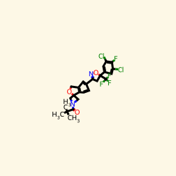 CC(C)(C)C(=O)N1CC2(C1)OCc1cc(C3=NOC(c4cc(Cl)c(F)c(Cl)c4)(C(F)(F)F)C3)ccc12